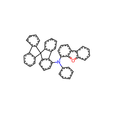 c1ccc(N(c2cccc3c2-c2ccccc2C32c3ccccc3-c3ccccc32)c2cccc3c2oc2ccccc23)cc1